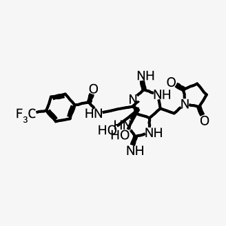 N=C1NC2C(CN3C(=O)CCC3=O)NC(=N)N3CC(NC(=O)c4ccc(C(F)(F)F)cc4)C(O)(O)C23N1